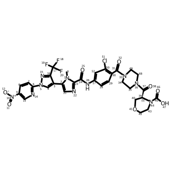 Cn1c(-c2cn(-c3ccc([N+](=O)[O-])cn3)nc2C(F)(F)F)cnc1C(=O)Nc1ccc(C(=O)N2CCN(C(=O)[C@@H]3COCCN3C(=O)O)CC2)c(Cl)c1